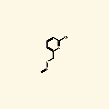 C=NOCc1cccc(C#N)n1